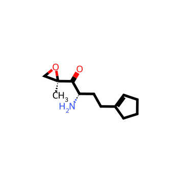 C[C@]1(C(=O)[C@@H](N)CCC2=CCCC2)CO1